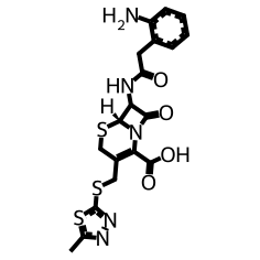 Cc1nnc(SCC2=C(C(=O)O)N3C(=O)C(NC(=O)Cc4ccccc4N)[C@H]3SC2)s1